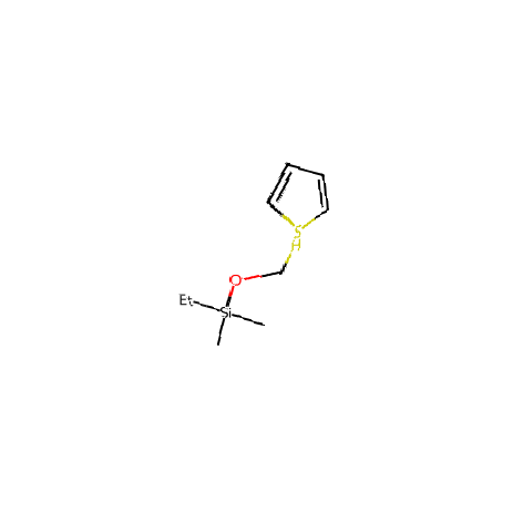 CC[Si](C)(C)OC[SH]1C=CC=C1